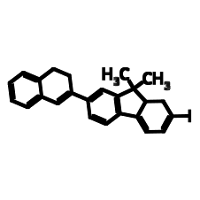 CC1(C)c2cc(C3=Cc4ccccc4CC3)ccc2C2=CC=C(I)CC21